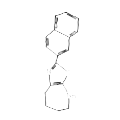 c1ccc2cc(-c3nc4c(s3)NCCCC4)ccc2c1